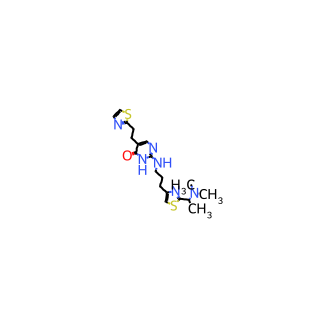 CC(c1nc(CCCNc2ncc(CCc3nccs3)c(=O)[nH]2)cs1)N(C)C